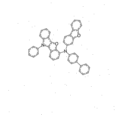 c1ccc(-c2ccc(N(c3ccc4c(c3)oc3ccccc34)c3cccc4c3oc3c5ccccc5n(-c5ccccc5)c43)cc2)cc1